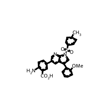 COc1ccccc1-c1cn(S(=O)(=O)c2ccc(C)cc2)c2ncc(-c3ccc(N)c(C(=O)O)c3)cc12